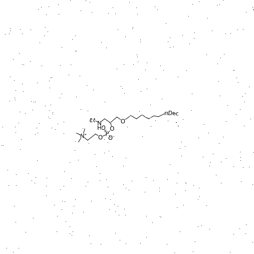 CCCCCCCCCCCCCCCCOCC(CNCC)OP(=O)([O-])OCC[N+](C)(C)C